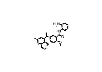 C=C(c1ccc(OC)c(C(=O)Nc2ccccc2N)c1)c1cc(C)nc2ccccc12